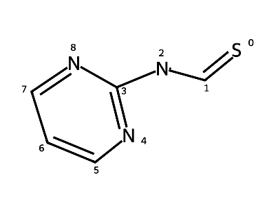 S=C[N]c1ncccn1